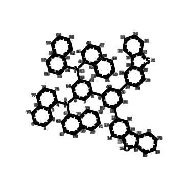 c1ccc2c(N(c3cc(-c4cc(-c5ccc6oc7ccccc7c6c5)cc(-c5ccc6sc7ccccc7c6c5)c4)cc(N(c4cccc5ccccc45)c4cccc5ccccc45)c3)c3cccc4ccccc34)cccc2c1